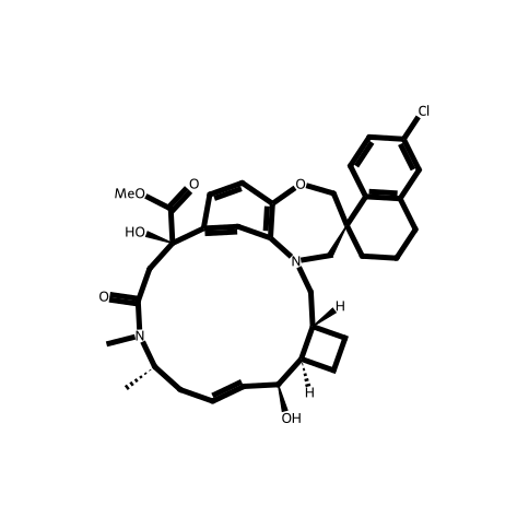 COC(=O)[C@@]1(O)CC(=O)N(C)[C@@H](C)C/C=C/[C@H](O)[C@@H]2CC[C@H]2CN2C[C@@]3(CCCc4cc(Cl)ccc43)COc3ccc1cc32